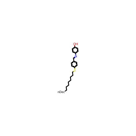 CCCCCCCCCCCCCCCCCCSc1ccc(C=Nc2ccc(O)cc2)cc1